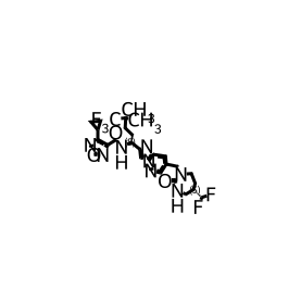 CC(C)(CC[C@H](NC(=O)c1nonc1C1CC1)c1cn2ncc(CN3CC[C@H](C(F)F)CNC3=O)cc2n1)C(F)(F)F